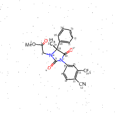 COC(=O)CN1C(=O)N(c2ccc(C#N)c(C(F)(F)F)c2)C(=O)C1(C)c1cc[c]cc1